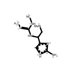 CN=C(NC#N)NC(CNC)c1c[nH]c(N)n1